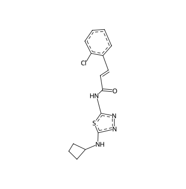 O=C(C=Cc1ccccc1Cl)Nc1nnc(NC2CCC2)s1